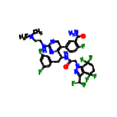 CN(C)CCNc1ncc(-c2ccc(F)c(C(N)=O)c2)c(C(Cc2cc(F)cc(F)c2)NC(=O)Cn2nc(C(F)F)c3c2C(F)(F)CCC3(F)F)n1